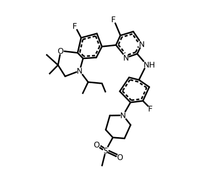 CCC(C)N1CC(C)(C)Oc2c(F)cc(-c3nc(Nc4ccc(N5CCC(S(C)(=O)=O)CC5)c(F)c4)ncc3F)cc21